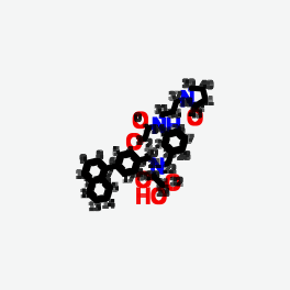 O=C(COc1cc(-c2cccc3ccccc23)ccc1CN(Cc1ccccc1)C(=O)C(=O)O)NCCCN1CCCC1=O